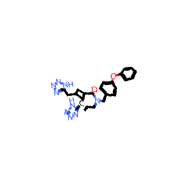 CCCN(Cc1ccc(Oc2ccccc2)cc1)C(=O)C1CC(Cc2nnn[nH]2)C1Cc1nnn[nH]1